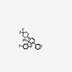 CC(C)C1(c2cc(F)ccc2F)N=C(c2cccnc2)C=CN1C1CCC(F)(F)CC1